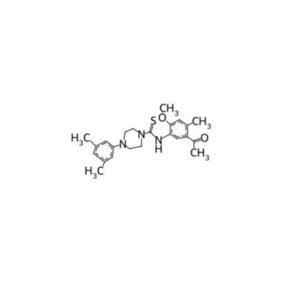 COc1cc(C)c(C(C)=O)cc1NC(=S)N1CCN(c2cc(C)cc(C)c2)CC1